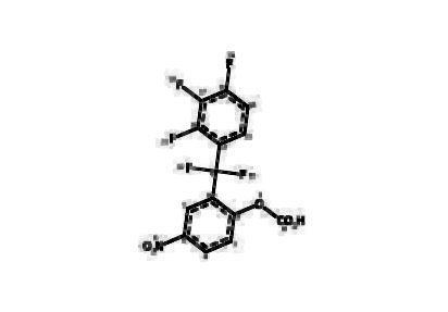 O=C(O)Oc1ccc([N+](=O)[O-])cc1C(F)(F)c1ccc(F)c(F)c1F